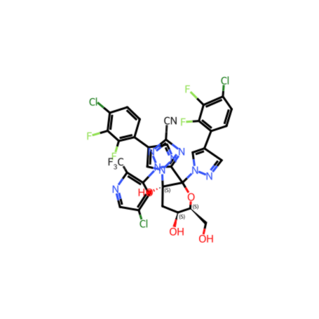 N#Cc1nc(C2(n3cc(-c4ccc(Cl)c(F)c4F)cn3)O[C@@H](CO)[C@@H](O)C[C@@]2(O)n2cc(-c3ccc(Cl)c(F)c3F)cn2)n(-c2cc(Cl)cnc2C(F)(F)F)n1